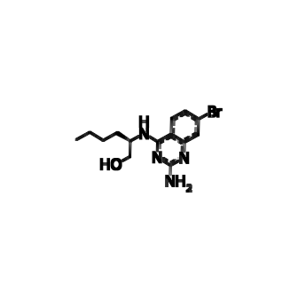 CCCC[C@H](CO)Nc1nc(N)nc2cc(Br)ccc12